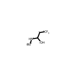 CCC(C)NC(O)CC(F)(F)F